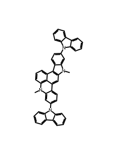 CN1c2cc(-n3c4ccccc4c4ccccc43)ccc2-c2cc3c(c4cccc1c24)c1ccc(-n2c4ccccc4c4ccccc42)cc1n3C